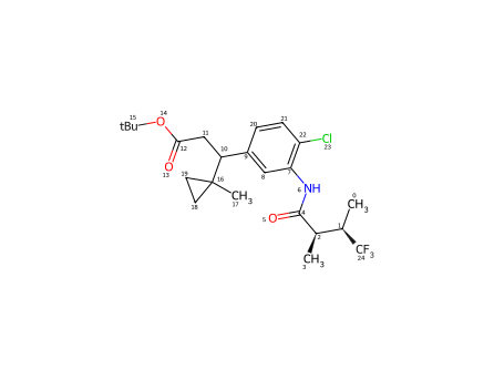 C[C@H]([C@@H](C)C(=O)Nc1cc(C(CC(=O)OC(C)(C)C)C2(C)CC2)ccc1Cl)C(F)(F)F